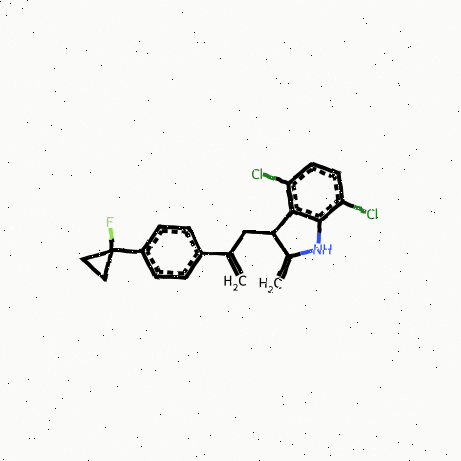 C=C(CC1C(=C)Nc2c(Cl)ccc(Cl)c21)c1ccc(C2(F)CC2)cc1